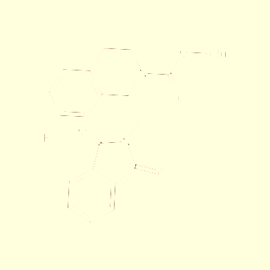 CC(C)(C)OC(=O)N1CCc2ccc(F)cc2[C@H]1CN1C(=O)c2ccccc2C1=O